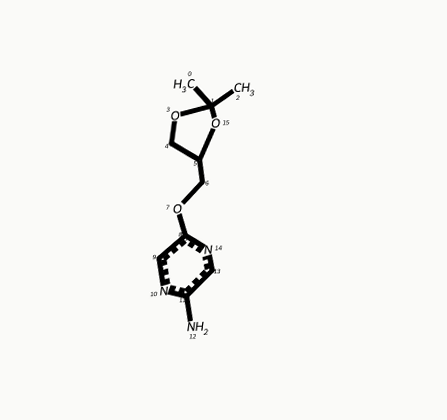 CC1(C)OCC(COc2cnc(N)cn2)O1